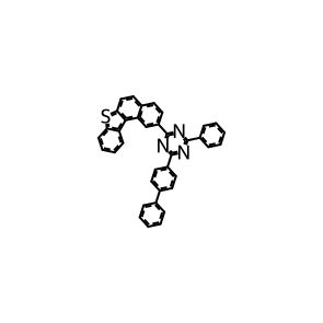 c1ccc(-c2ccc(-c3nc(-c4ccccc4)nc(-c4ccc5ccc6sc7ccccc7c6c5c4)n3)cc2)cc1